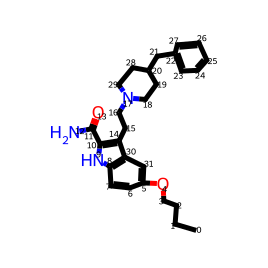 CCCCOc1ccc2[nH]c(C(N)=O)c(CCN3CCC(Cc4ccccc4)CC3)c2c1